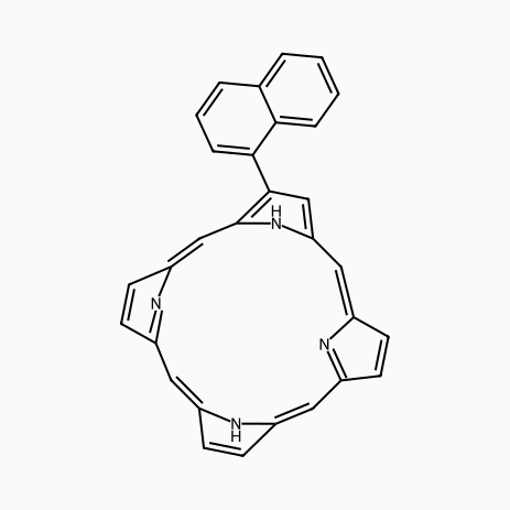 C1=Cc2cc3cc(-c4cccc5ccccc45)c(cc4nc(cc5ccc(cc1n2)[nH]5)C=C4)[nH]3